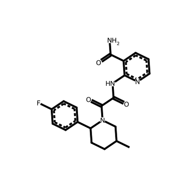 CC1CCC(c2ccc(F)cc2)N(C(=O)C(=O)Nc2ncccc2C(N)=O)C1